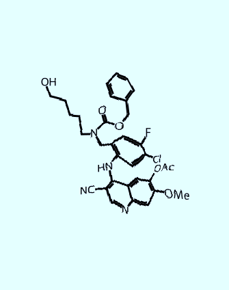 COc1cc2ncc(C#N)c(Nc3cc(Cl)c(F)cc3CN(CCCCCO)C(=O)OCc3ccccc3)c2cc1OC(C)=O